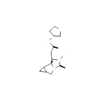 Cn1c(CC(=O)N[C@H]2CCOC2)c2n(c1=S)C[C@@]1(C)C[C@@H]21